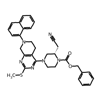 CSc1nc2c(c(N3CCN(C(=O)OCc4ccccc4)[C@@H](CC#N)C3)n1)CCN(c1cccc3ccccc13)C2